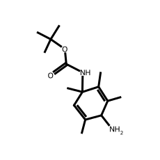 CC1=CC(C)(NC(=O)OC(C)(C)C)C(C)=C(C)C1N